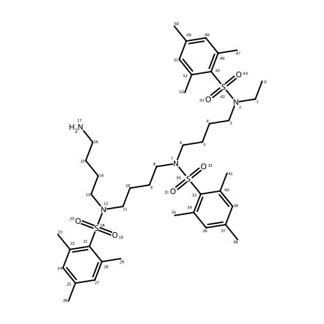 CCN(CCCCN(CCCCN(CCCCN)S(=O)(=O)c1c(C)cc(C)cc1C)S(=O)(=O)c1c(C)cc(C)cc1C)S(=O)(=O)c1c(C)cc(C)cc1C